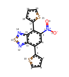 O=[N+]([O-])c1cc(-c2cccs2)c2nsnc2c1-c1cccs1